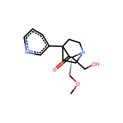 COC[C@]1(CO)C(=O)C2(c3cccnc3)CCN1CC2